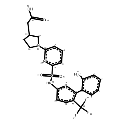 Cc1ccccc1-c1nc(NS(=O)(=O)c2cccc(N3CCC(CC(=O)O)C3)n2)ccc1C(F)(F)F